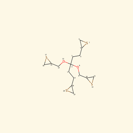 C(CC(CCC1CS1)(OCC1CS1)OCC1CS1)C1CS1